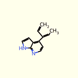 C=C/C(=C\C)c1ccnc2[nH]ccc12